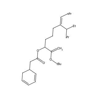 C=C(OC(C)(C)C)C(CCC/C(=C/CCC)C(CC)C(C)C)OC(=O)CC1C=CC=CC1